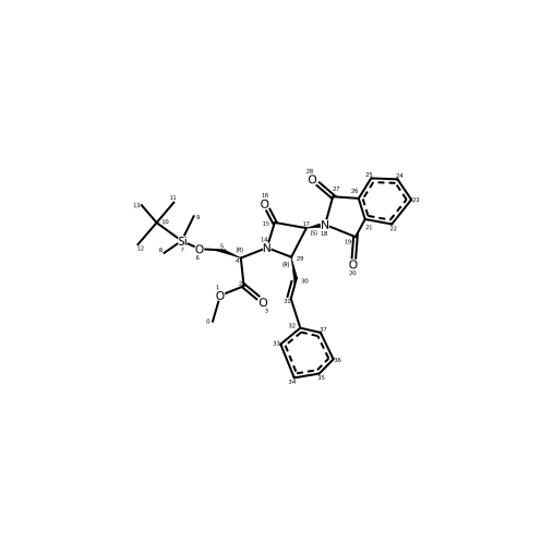 COC(=O)[C@@H](CO[Si](C)(C)C(C)(C)C)N1C(=O)[C@@H](N2C(=O)c3ccccc3C2=O)[C@H]1C=Cc1ccccc1